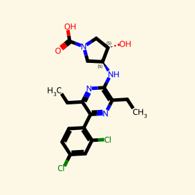 CCc1nc(-c2ccc(Cl)cc2Cl)c(CC)nc1N[C@H]1CN(C(=O)O)C[C@@H]1O